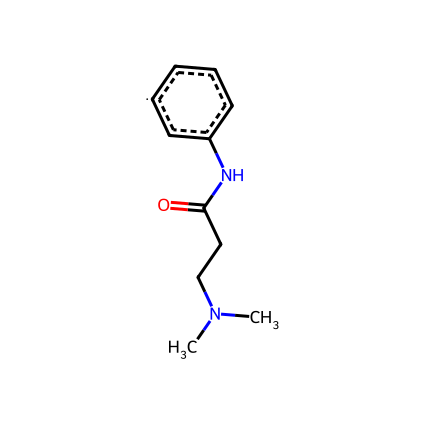 CN(C)CCC(=O)Nc1c[c]ccc1